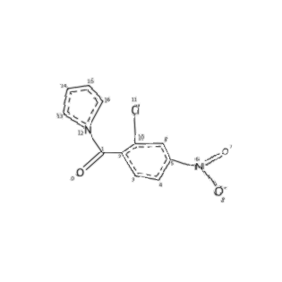 O=C(c1ccc([N+](=O)[O-])cc1Cl)n1cccc1